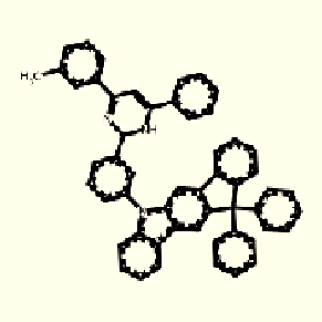 Cc1cccc(C2=NC(c3cccc(-n4c5ccccc5c5cc6c(cc54)-c4ccccc4C6(c4ccccc4)c4ccccc4)c3)NC(c3ccccc3)=C2)c1